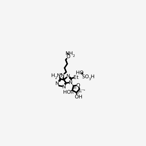 CCC1=NC2(N(C)CCCCON)C(N)=NCN=C2N1[C@@H]1O[C@H](C)[C@@H](O)[C@H]1O.O=S(=O)(O)O